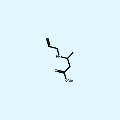 C=CCNC(C)CC(=O)OC